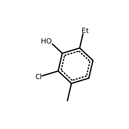 CCc1ccc(C)c(Cl)c1O